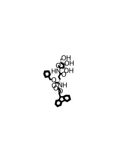 O=C(CC[C@H](NC(=O)OCC1c2ccccc2-c2ccccc21)C(=O)OCc1ccccc1)NC1O[C@H](CO)[C@@H](O)[C@H]1O